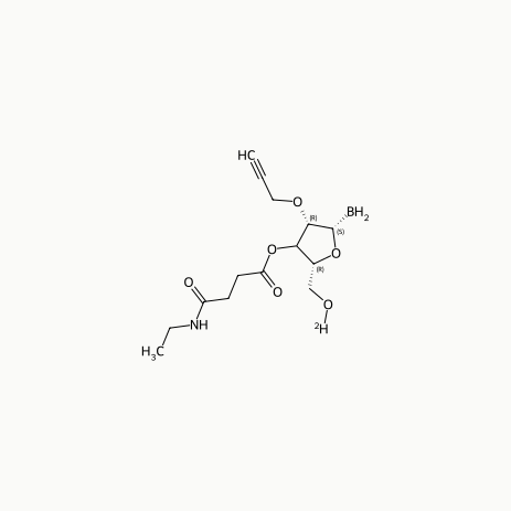 [2H]OC[C@H]1O[C@@H](B)[C@@H](OCC#C)C1OC(=O)CCC(=O)NCC